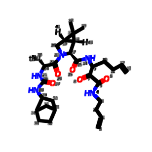 C=CCCNC(=O)C(=O)C(CCC=C)NC(=O)[C@@H]1[C@@H]2[C@H](CN1C(=O)[C@@H](NC(=O)NC1CC3CCC1C3)C(C)(C)C)C2(C)C